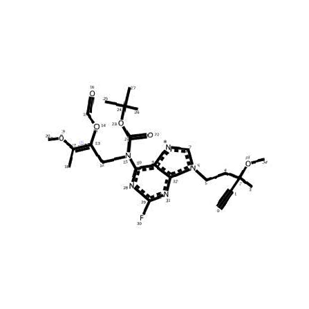 C#CC(C)(CCn1cnc2c(N(C/C(OC=O)=C(\C)OC)C(=O)OC(C)(C)C)nc(F)nc21)OC